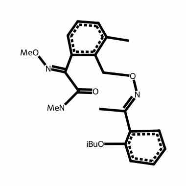 CNC(=O)/C(=N/OC)c1cccc(C)c1CO/N=C(\C)c1ccccc1OCC(C)C